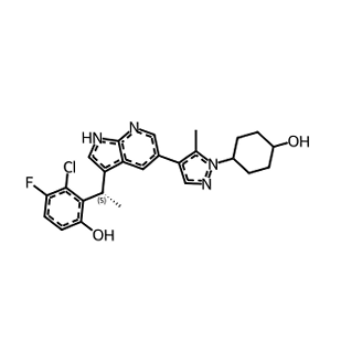 Cc1c(-c2cnc3[nH]cc([C@H](C)c4c(O)ccc(F)c4Cl)c3c2)cnn1C1CCC(O)CC1